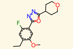 CCc1cc(F)c(-c2nnc(C3CCOCC3)o2)cc1OC